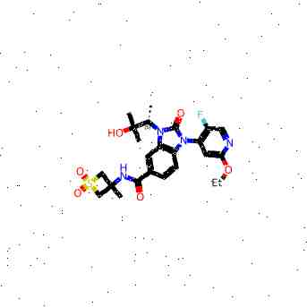 CCOc1cc(-n2c(=O)n([C@@H](C)C(C)(C)O)c3cc(C(=O)NC4(C)CS(=O)(=O)C4)ccc32)c(F)cn1